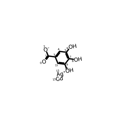 O=C([O-])c1cc(O)c(O)c(O)c1.[Ag+].[Gd]